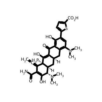 C=C=C1C(C(N)=O)=C(O)[C@@H](N(C)C)[C@@H]2C[C@@H]3Cc4c(N(C)C)cc(-c5ccc(C(=O)O)s5)c(O)c4C(=O)C3=C(O)[C@]12P